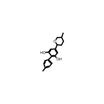 Cc1ccc(-c2c(O)cc(C3CCC(C)CO3)cc2O)cc1